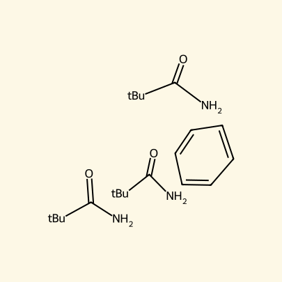 CC(C)(C)C(N)=O.CC(C)(C)C(N)=O.CC(C)(C)C(N)=O.c1ccccc1